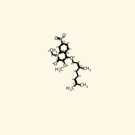 CCn1c(=O)c(OC)c(OCC=C(C)CCC=C(C)C)c2ccc([N+](=O)[O-])cc21